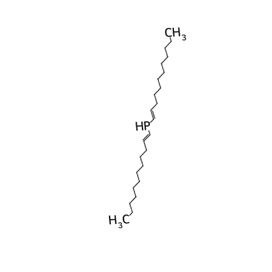 CCCCCCCCCCC=CPC=CCCCCCCCCCC